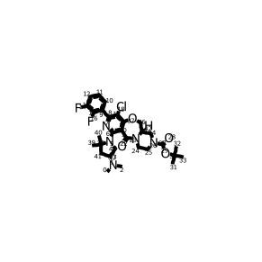 CN(C)[C@H]1CN(c2nc(-c3cccc(F)c3F)c(Cl)c3c2C(=O)N2CCN(C(=O)OC(C)(C)C)C[C@@H]2CO3)C(C)(C)C1